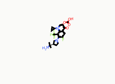 CC(C)(N)[C@@H]1CCN(c2c(F)cc3c(=O)c(OC(=O)O)cn(C4CC4)c3c2C(F)(F)F)C1